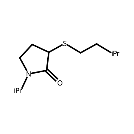 CC(C)CCSC1CCN(C(C)C)C1=O